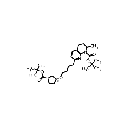 CC1CCc2ccc(CCCCO[C@@H]3CCN(C(=O)OC(C)(C)C)C3)nc2N1C(=O)OC(C)(C)C